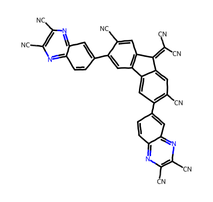 N#CC(C#N)=C1c2cc(C#N)c(-c3ccc4nc(C#N)c(C#N)nc4c3)cc2-c2cc(-c3ccc4nc(C#N)c(C#N)nc4c3)c(C#N)cc21